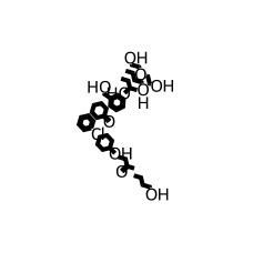 CCC(C)=O.CCC(C)O.CCCCO.CCCCO.Clc1ccccc1.O=C1CCCCC1.OC1CCCCC1.OCCOCCO.OCc1ccccc1